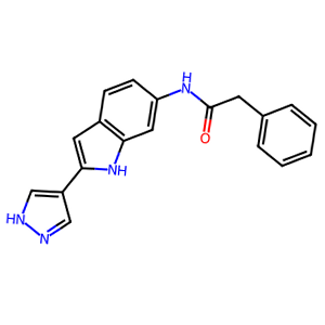 O=C(Cc1ccccc1)Nc1ccc2cc(-c3cn[nH]c3)[nH]c2c1